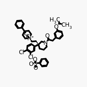 CC(C)Oc1cccc(CC(=O)N2CCC[C@](CC[N+]34CCC(c5ccccc5)(CC3)CC4)(c3ccc(Cl)c(Cl)c3)C2)c1.O=S(=O)([O-])c1ccccc1